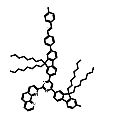 CCCCCCCCC1(CCCCCCCC)c2cc(C)ccc2-c2ccc(-c3cc(-c4ccc5c(c4)C(CCCCCCCC)(CCCCCCCC)c4cc(-c6ccc(/C=C/c7ccc(C)cc7)cc6)ccc4-5)nc(-c4ccc5ccc6cccnc6c5n4)n3)cc21